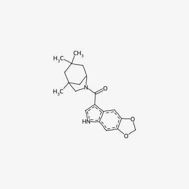 CC1(C)CC2CC(C)(CN2C(=O)c2c[nH]c3cc4c(cc23)OCO4)C1